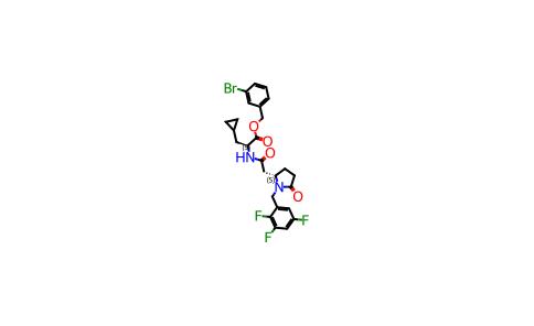 O=C(C[C@@H]1CCC(=O)N1Cc1cc(F)cc(F)c1F)N[C@@H](CC1CC1)C(=O)OCc1cccc(Br)c1